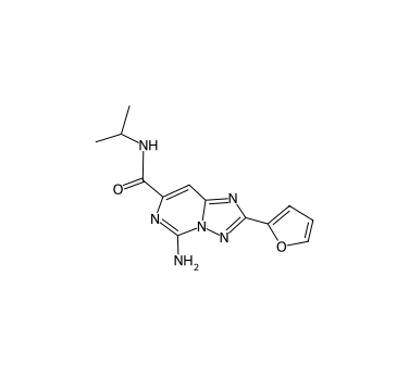 CC(C)NC(=O)c1cc2nc(-c3ccco3)nn2c(N)n1